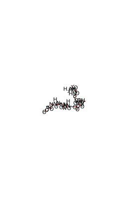 C=C1C[C@H]2C(O)N(C(=O)OCc3ccc(NC(=O)[C@H](C)NC(=O)[C@@H](N)C(C)C)cc3)c3cc(OCCCC(=O)Nc4cn(C)c(C(=O)Nc5cc(C(=O)Nc6cc(C(=O)n7ccc8cc(OC)ccc87)n(C)c6)n(C)c5)n4)c(OC)cc3C(=O)N2C1